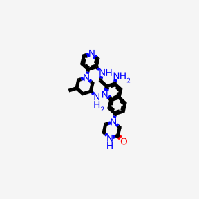 CC1CC(N)CN(c2ccncc2NCc2nc3cc(N4CCNC(=O)C4)ccc3cc2N)C1